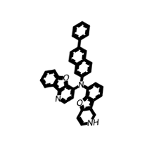 C1=Cc2oc3c(N(c4ccc5cc(-c6ccccc6)ccc5c4)c4ccnc5c4oc4ccccc45)cccc3c2CN1